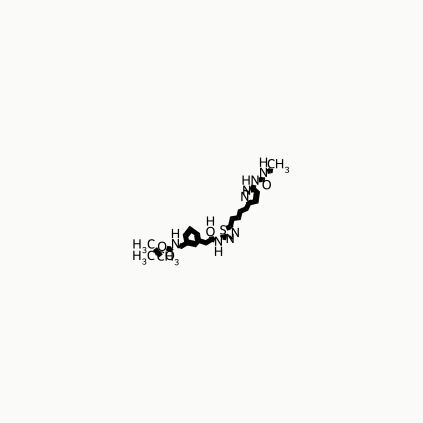 CCNC(=O)Nc1ccc(CCCCc2nnc(NC(O)Cc3cccc(CNC(=O)OC(C)(C)C)c3)s2)nn1